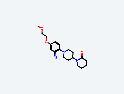 COCCOc1ccc(N2CCC(N3CCCCC3=O)CC2)c(N)c1